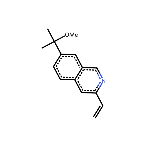 C=Cc1cc2ccc(C(C)(C)OC)cc2cn1